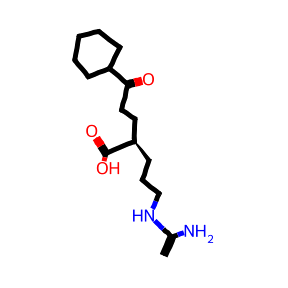 C=C(N)NCCC[C@H](CCC(=O)C1CCCCC1)C(=O)O